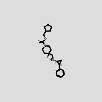 O=C(OCC1CCCC1)N1CCC(F)(CN[C@@H]2C[C@H]2c2ccccc2)CC1